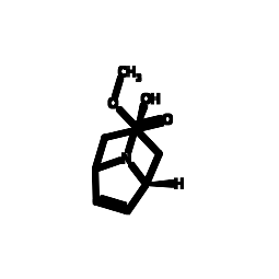 COC(=O)N1C2C=C[C@H]1C[C@H](O)C2